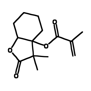 C=C(C)C(=O)OC12CCCCC1OC(=O)C2(C)C